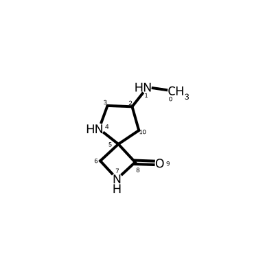 CNC1CNC2(CNC2=O)C1